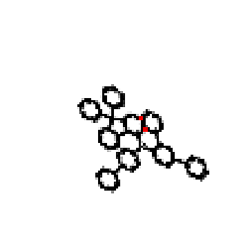 c1ccc(-c2ccc(N(c3ccc(-c4ccccc4)cc3-c3ccccc3)c3cccc4c3-c3ccccc3C4(c3ccccc3)c3ccccc3)cc2)cc1